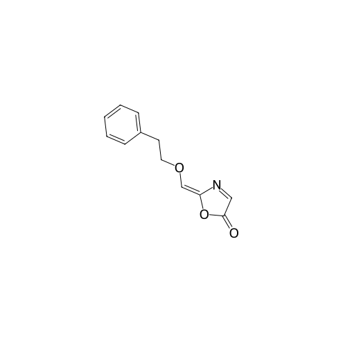 O=C1C=NC(=COCCc2ccccc2)O1